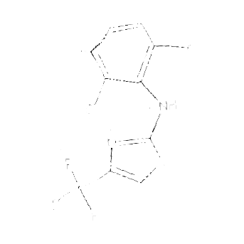 FC(F)(F)c1csc(Nc2c(Cl)cccc2Cl)n1